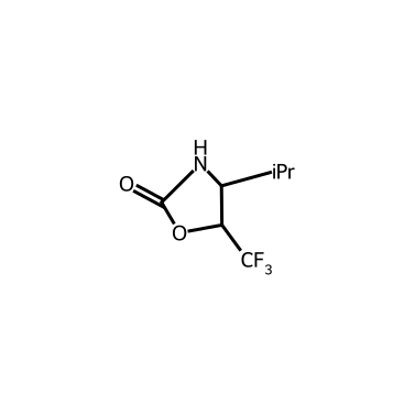 CC(C)C1NC(=O)OC1C(F)(F)F